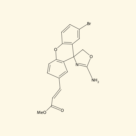 COC(=O)C=Cc1ccc2c(c1)C1(COC(N)=N1)c1cc(Br)ccc1O2